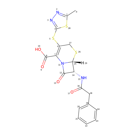 Cc1nnc(SC2=C(C(=O)O)N3C(=O)[C@@H](NC(=O)Cc4ccccc4)[C@H]3SC2)s1